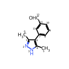 Cc1n[nH]c(C)c1-c1cccc(C=O)c1